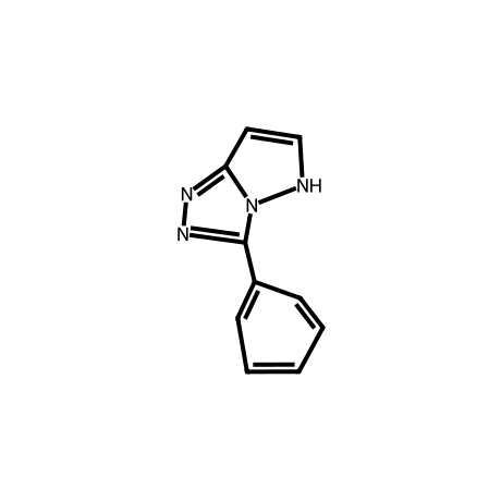 c1ccc(-c2nnc3cc[nH]n23)cc1